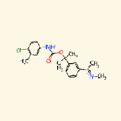 C/N=C(\C)c1cccc(C(C)(C)OC(=O)Nc2ccc(Cl)c(C)c2)c1